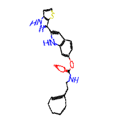 O=C(NCCC1=CCCCC1)Oc1ccc2cc(-c3n[nH]c4ccsc34)[nH]c2c1